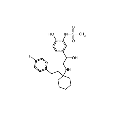 CS(=O)(=O)Nc1cc(C(O)CNC2(CCc3ccc(F)cc3)CCCCC2)ccc1O